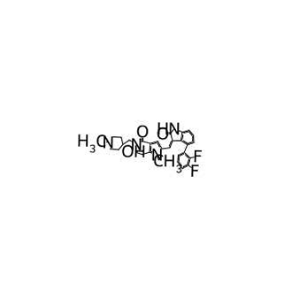 CN1CCC(O)(CN2CCc3c(cc(C=C4C(=O)Nc5cccc(-c6cccc(F)c6F)c54)n3C)C2=O)CC1